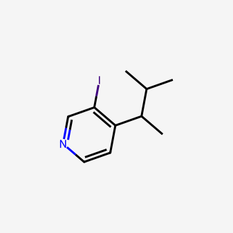 CC(C)C(C)c1ccncc1I